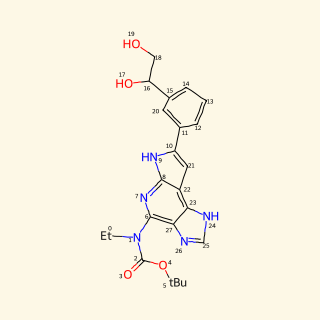 CCN(C(=O)OC(C)(C)C)c1nc2[nH]c(-c3cccc(C(O)CO)c3)cc2c2[nH]cnc12